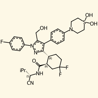 CC(C)[C@@H](C#N)NC(=O)[C@@H]1CC(F)(F)CC[C@H]1c1nn(-c2ccc(F)cc2)c(CO)c1-c1ccc(N2CCS(O)(O)CC2)cc1